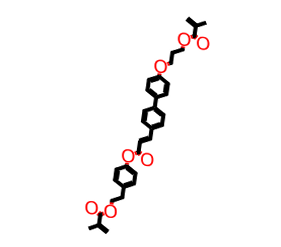 C=C(C)C(=O)OCCCOc1ccc(-c2ccc(/C=C/C(=O)Oc3ccc(CCOC(=O)C(=C)C)cc3)cc2)cc1